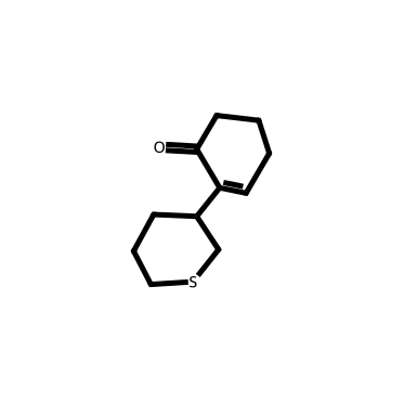 O=C1CCCC=C1C1CCCSC1